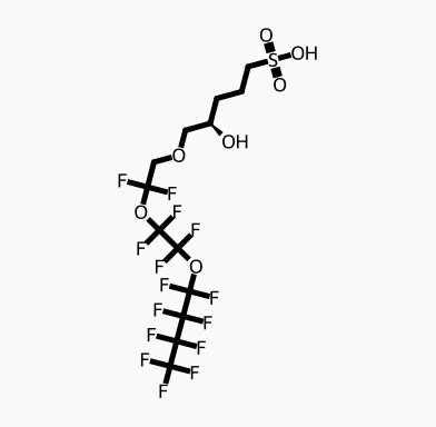 O=S(=O)(O)CCC[C@@H](O)COCC(F)(F)OC(F)(F)C(F)(F)OC(F)(F)C(F)(F)C(F)(F)C(F)(F)F